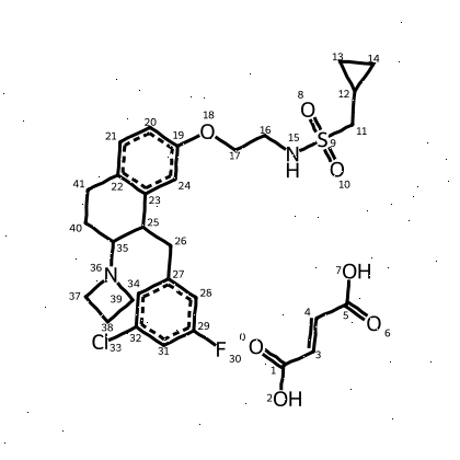 O=C(O)C=CC(=O)O.O=S(=O)(CC1CC1)NCCOc1ccc2c(c1)C(Cc1cc(F)cc(Cl)c1)C(N1CCC1)CC2